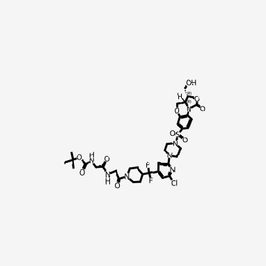 CC(C)(C)OC(=O)NCC(=O)NCC(=O)N1CCC(C(F)(F)c2cc(Cl)nc(N3CCN(S(=O)(=O)c4ccc5c(c4)OC[C@@H]4[C@H](CO)OC(=O)N54)CC3)c2)CC1